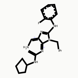 C=C(/N=C1\C(=C/N)N=C(Nc2ccccc2F)N1CC(C)C)NC1CCCC1